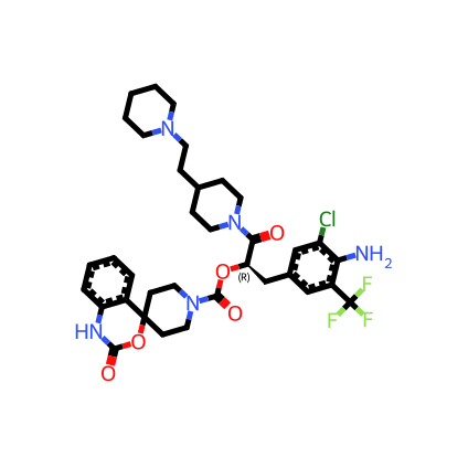 Nc1c(Cl)cc(C[C@@H](OC(=O)N2CCC3(CC2)OC(=O)Nc2ccccc23)C(=O)N2CCC(CCN3CCCCC3)CC2)cc1C(F)(F)F